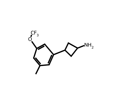 Cc1cc(OC(F)(F)F)cc(C2CC(N)C2)c1